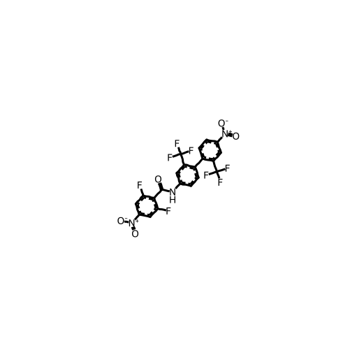 O=C(Nc1ccc(-c2ccc([N+](=O)[O-])cc2C(F)(F)F)c(C(F)(F)F)c1)c1c(F)cc([N+](=O)[O-])cc1F